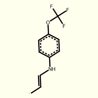 [CH2]/C=C/Nc1ccc(OC(F)(F)F)cc1